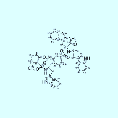 CC(Cc1c[nH]c2ccccc12)NS(=O)(=O)c1ccccc1C(F)(F)F.Cc1ccc([N+](=O)[O-])cc1S(=O)(=O)N(C(C)Cc1c[nH]c2ccccc12)C(Cc1c[nH]c2ccccc12)C(N)=O